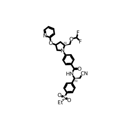 CCS(=O)(=O)c1ccc([C@H](CC#N)NC(=O)c2ccc(N3CC(Oc4ccccn4)C[C@H]3COC(F)F)cc2)cc1